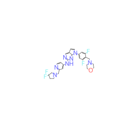 Fc1cc(-n2ccc3cnc(Nc4ccnc(CN5CCC(F)(F)C5)c4)nc32)cc(F)c1CN1CCOCC1